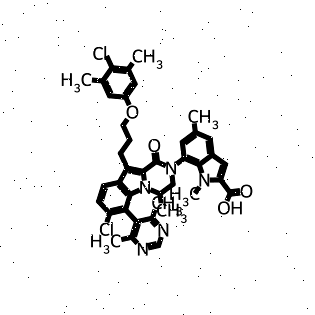 Cc1cc(N2CC(C)n3c(c(CCCOc4cc(C)c(Cl)c(C)c4)c4ccc(Cl)c(-c5c(C)ncnc5C)c43)C2=O)c2c(c1)cc(C(=O)O)n2C